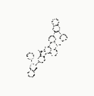 CN1c2cc(-c3cc4ccccc4cc3-c3ccccc3)ccc2-c2cc3c(c4cccc1c24)c1ccc(-c2cc4ccccc4cc2-c2ccccc2)cc1n3C